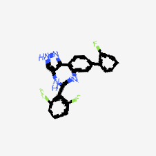 Fc1ccccc1-c1ccc2c(c1)N=C(c1c(F)cccc1F)Nc1c[nH]nc1-2